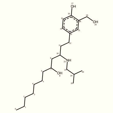 CCCCCCCC(O)CC(CCc1ccc(O)c(CO)c1)NCC(C)C